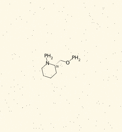 POC[C@@H]1CCCCN1P